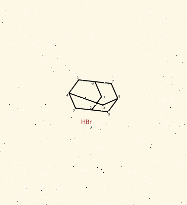 Br.C1C2CC3CC1CC(C2)C3